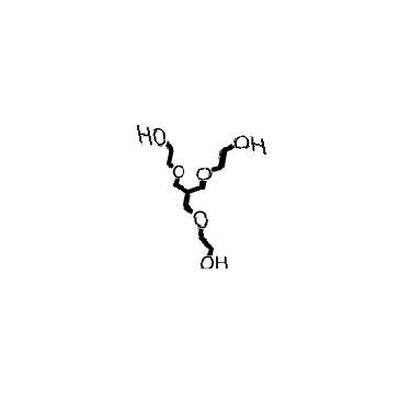 OCCOCC(COCCO)COCCO